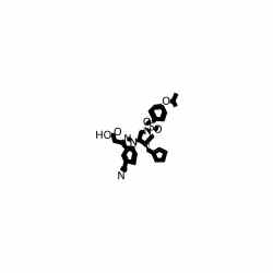 CC(C)Oc1ccc(S(=O)(=O)N2C[C@@H](CC3CCCC3)[C@@H](n3nc(CC(=O)O)c4cc(C#N)ccc43)C2)cc1